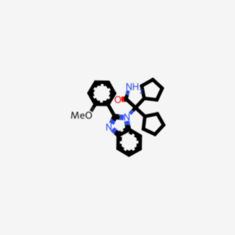 COc1ccccc1-c1nc2ccccc2n1C(C(N)=O)(C1CCCC1)C1CCCC1